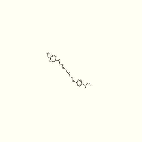 C[C@H](N)c1ccc(OCCOCCOCCOc2ccc(CN)nc2)cn1